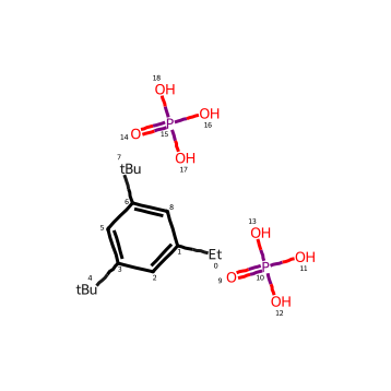 CCc1cc(C(C)(C)C)cc(C(C)(C)C)c1.O=P(O)(O)O.O=P(O)(O)O